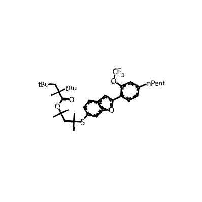 CCCCCc1ccc(-c2cc3ccc(SC(C)(C)CC(C)(C)OC(=O)C(C)(CC(C)(C)C)C(C)(C)C)cc3o2)c(OC(F)(F)F)c1